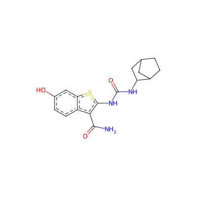 NC(=O)c1c(NC(=O)NC2CC3CCC2C3)sc2cc(O)ccc12